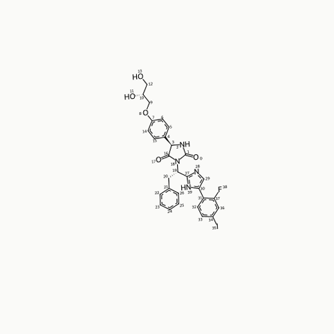 O=C1N[C@H](c2ccc(OC[C@H](O)CO)cc2)C(=O)N1[C@@H](Cc1ccccc1)c1ncc(-c2ccc(I)cc2F)[nH]1